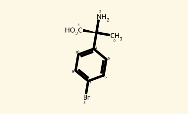 C[C@](N)(C(=O)O)c1ccc(Br)cc1